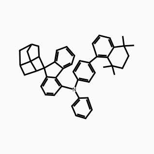 CC1(C)CCC(C)(C)c2c(-c3ccc(N(c4ccccc4)c4cccc5c4-c4ccccc4C54C5CC6CC7CC4C75C6)cc3)cccc21